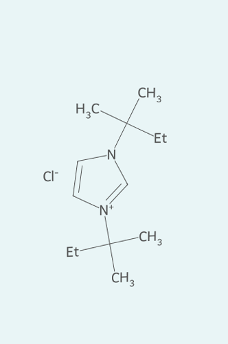 CCC(C)(C)n1cc[n+](C(C)(C)CC)c1.[Cl-]